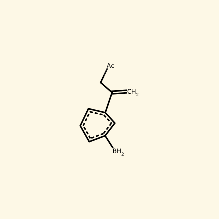 Bc1cccc(C(=C)CC(C)=O)c1